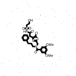 COc1cc(OC)cc(C(=O)N(CCCc2ccccc2)Cc2nc(CC(=O)NS(=O)(=O)CCO)c(Cl)s2)c1